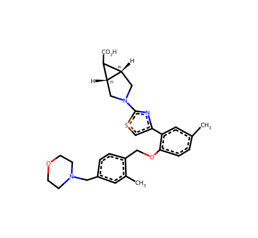 Cc1ccc(OCc2ccc(CN3CCOCC3)cc2C)c(-c2csc(N3C[C@@H]4C(C(=O)O)[C@@H]4C3)n2)c1